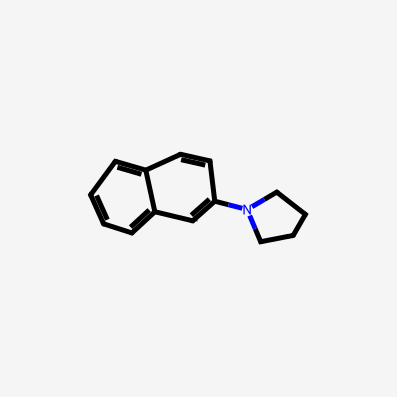 [c]1c(N2CCCC2)ccc2ccccc12